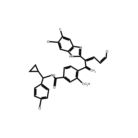 C=C(/C(=C\C=C/Cl)c1nc2cc(F)c(Cl)cc2[nH]1)c1ccc(C(=O)NC(c2ccc(Cl)cc2)C2CC2)cc1C(=O)O